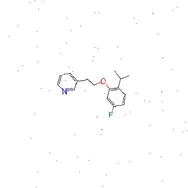 CC(C)c1ccc(F)cc1OCCc1cccnc1